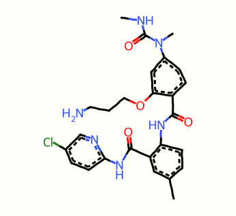 CNC(=O)N(C)c1ccc(C(=O)Nc2ccc(C)cc2C(=O)Nc2ccc(Cl)cn2)c(OCCCN)c1